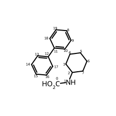 O=C(O)NC1CCCCC1.c1ccc(-c2ccccc2)cc1